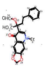 CCn1cc(C(CCc2ccccc2)(OC=O)C(=O)O)c(=O)c2cc3c(cc21)OCO3